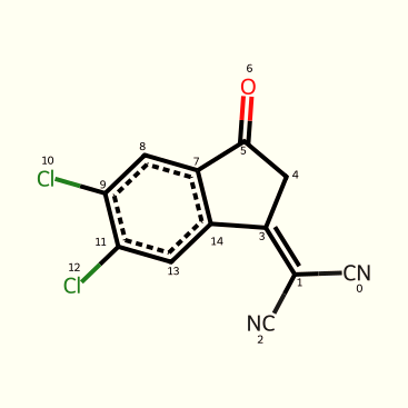 N#CC(C#N)=C1CC(=O)c2cc(Cl)c(Cl)cc21